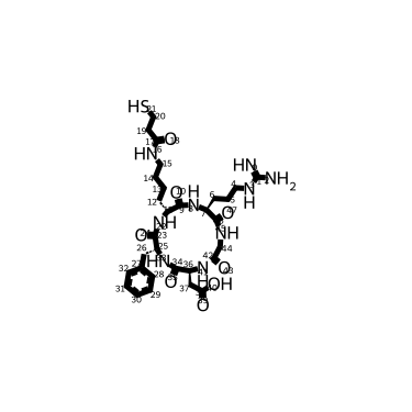 N=C(N)NCCC[C@@H]1NC(=O)[C@@H](CCCCNC(=O)CCS)NC(=O)[C@@H](Cc2ccccc2)NC(=O)[C@H](CC(=O)O)NC(=O)CNC1=O